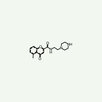 Cc1cccc2oc(C(=O)NCCN3CCNCC3)cc(=O)c12